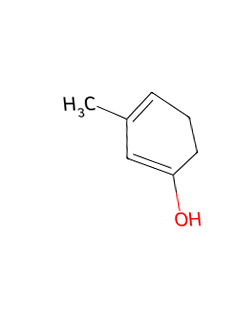 CC1=CCCC(O)=C1